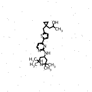 CC(O)CC1(Cc2ccc(-c3ccnc(NC4CC(C)(C)NC(C)(C)C4)n3)s2)CC1